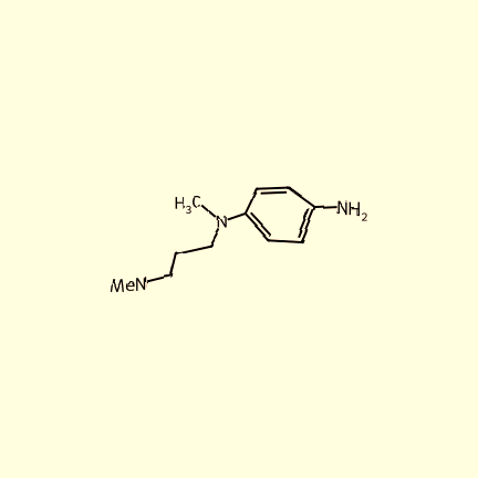 CNCCCN(C)c1ccc(N)cc1